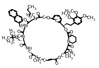 CCCC[C@H]1C(=O)N[C@@H](Cc2ccc3ccccc3c2)C(=O)N(C)[C@@H](COC(C)(C)C)C(=O)NCC(=O)N(C)CC/C=C/C(=O)OCC(C)(C)C(=O)C(=O)N2CCCC[C@H]2C(=O)O[C@H](CCc2ccc(OC)c(OC)c2OC)c2cccc(c2)OCC(=O)N1C